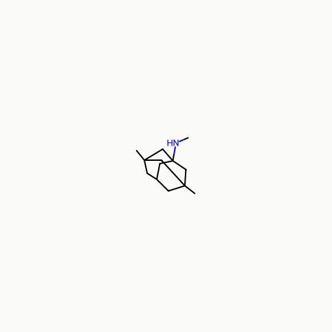 CNC12CC3CC(C)(CC(C)(C3)C1)C2